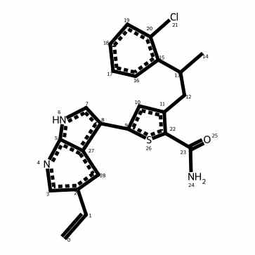 C=Cc1cnc2[nH]cc(-c3cc(CC(C)c4ccccc4Cl)c(C(N)=O)s3)c2c1